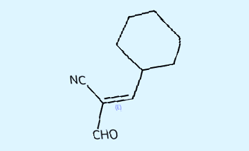 N#C/C(C=O)=C\C1CCCCC1